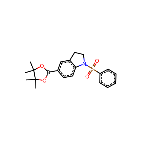 CC1(C)OB(c2ccc3c(c2)CCN3S(=O)(=O)c2ccccc2)OC1(C)C